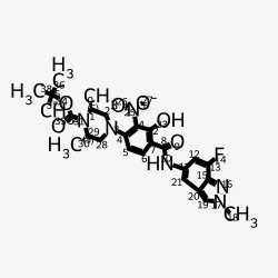 C[C@H]1CN(c2ccc(C(=O)Nc3cc(F)c4nn(C)cc4c3)c(O)c2[N+](=O)[O-])C[C@H](C)N1C(=O)OC(C)(C)C